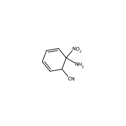 N#CC1C=CC=CC1(N)[N+](=O)[O-]